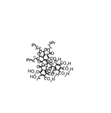 CC(C)CCOC(=O)c1c(C(=O)O)c(C(=O)OC(=O)c2c(C(=O)O)c(C(=O)O)c(C(=O)O)c(C(=O)O)c2C(=O)O)c(C(=O)OC(=O)c2c(C(=O)O)c(C(=O)O)c(C(=O)O)c(C(=O)O)c2C(=O)O)c(C(=O)OCCC(C)C)c1C(=O)OCCC(C)C